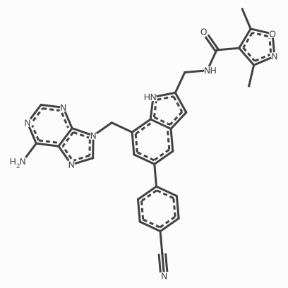 Cc1noc(C)c1C(=O)NCc1cc2cc(-c3ccc(C#N)cc3)cc(Cn3cnc4c(N)ncnc43)c2[nH]1